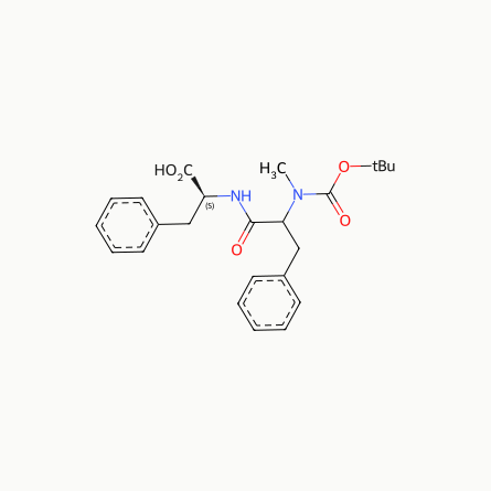 CN(C(=O)OC(C)(C)C)C(Cc1ccccc1)C(=O)N[C@@H](Cc1ccccc1)C(=O)O